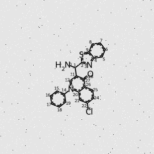 NC(c1nc2ccccc2s1)c1cn(-c2ccccc2)c2cc(Cl)ccc2c1=O